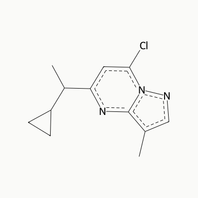 Cc1cnn2c(Cl)cc(C(C)C3CC3)nc12